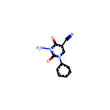 N#Cc1cn(-c2ccccc2)c(=O)n(N)c1=O